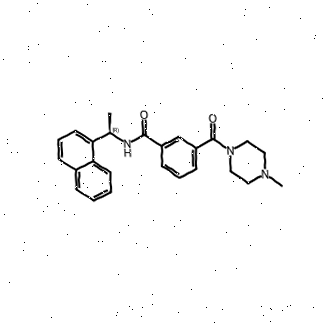 C[C@@H](NC(=O)c1cccc(C(=O)N2CCN(C)CC2)c1)c1cccc2ccccc12